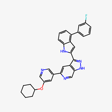 Fc1cccc(-c2cccc3[nH]c(-c4n[nH]c5cnc(-c6cncc(OC7CCCCC7)c6)cc45)cc23)c1